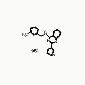 Cl.Cl.FC(F)(F)c1cccc(CNc2nc(-c3cccnc3)nc3ccccc23)c1